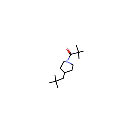 CC(C)(C)CC1CCN(C(=O)C(C)(C)C)CC1